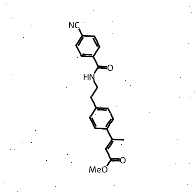 COC(=O)/C=C(\C)c1ccc(CCNC(=O)c2ccc(C#N)cc2)cc1